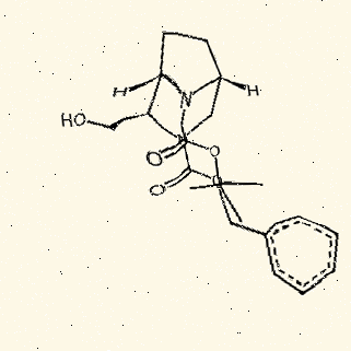 CC(C)(C)OC(=O)N1[C@@H]2CC[C@H]1[C@H](CO)N(C(=O)OCc1ccccc1)C2